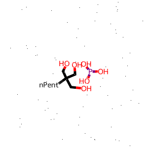 CCCCCC(CO)(CO)CO.OP(O)O